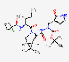 CC[C@H](C)[C@H](NC(=O)C1(F)CCC1)C(=O)N1C[C@H]2[C@@H]([C@H]1C(=O)NN(C[C@@H]1CCNC1=O)C(=O)OC(C)(C)C)C2(C)C